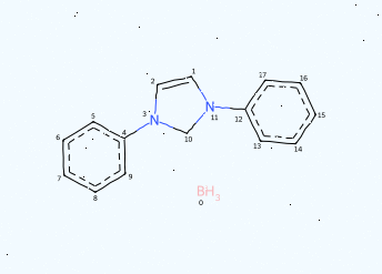 B.C1=CN(c2ccccc2)CN1c1ccccc1